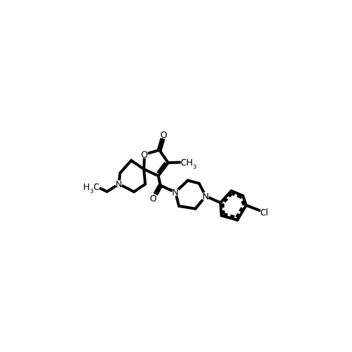 CCN1CCC2(CC1)OC(=O)C(C)=C2C(=O)N1CCN(c2ccc(Cl)cc2)CC1